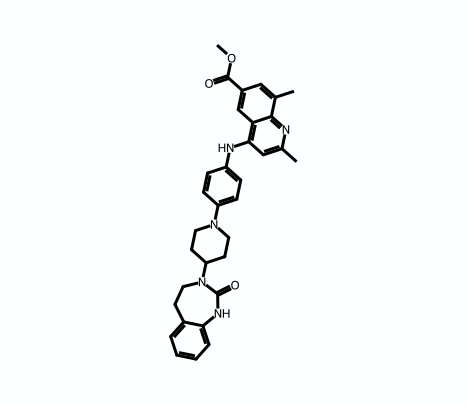 COC(=O)c1cc(C)c2nc(C)cc(Nc3ccc(N4CCC(N5CCc6ccccc6NC5=O)CC4)cc3)c2c1